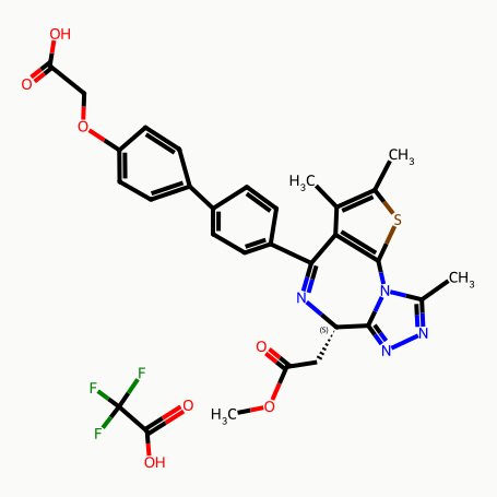 COC(=O)C[C@@H]1N=C(c2ccc(-c3ccc(OCC(=O)O)cc3)cc2)c2c(sc(C)c2C)-n2c(C)nnc21.O=C(O)C(F)(F)F